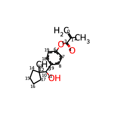 C=C(C)C(=O)Oc1ccc(C(O)C2(C)CCCC2)cc1